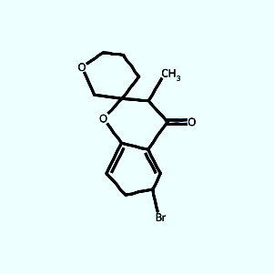 CC1C(=O)C2=CC(Br)CC=C2OC12CCCOC2